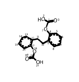 O=C(O)Oc1ccccc1CCc1ccccc1OC(=O)O